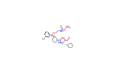 COC(=O)NCCO[C@@H](c1cccc(Cl)c1)[C@@H]1CCCN(C(=O)N[C@@H](CC2CCCCC2)C(=O)C=O)C1